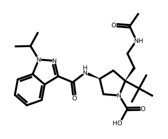 CC(=O)NCC[C@]1(C(C)(C)C)C[C@H](NC(=O)c2nn(C(C)C)c3ccccc23)CN1C(=O)O